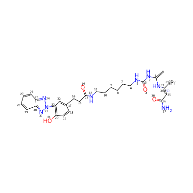 C=C(NC(=O)NCCCCCCNC(=O)CCc1ccc(O)c(-n2nc3ccccc3n2)c1)N/C(=C\C(N)=O)C(C)C